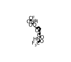 O=C(NC(=O)C(F)(F)F)OC[C@@H]1CC[C@@H](COC(=O)NC(=O)C(F)(F)F)O1